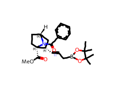 COC(=O)[C@@]12CC[C@H](C[C@@H]1/C=C/CB1OC(C)(C)C(C)(C)O1)N2C(=O)c1ccccc1